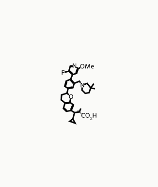 COc1cc(-c2ccc(C3CCc4ccc(C(C5CC5)[C@H](C)C(=O)O)cc4O3)cc2CN2CCCC(C)(C)C2)c(F)cn1